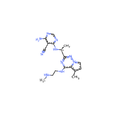 CNCCNc1nc([C@H](C)Nc2ncnc(N)c2C#N)nn2ccc(C)c12